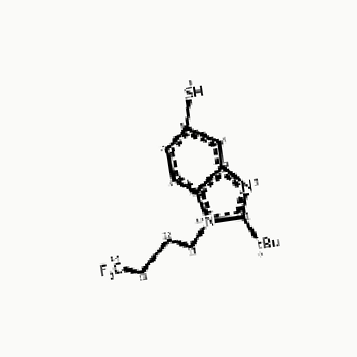 CC(C)(C)c1nc2cc(S)ccc2n1CCCC(F)(F)F